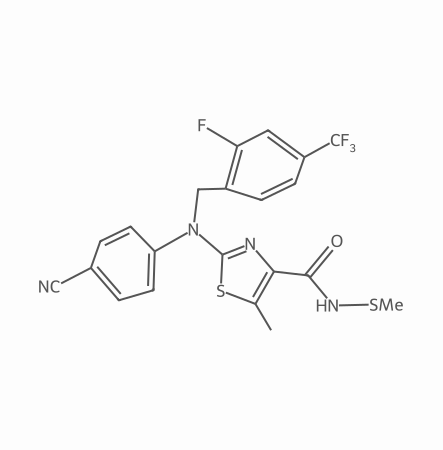 CSNC(=O)c1nc(N(Cc2ccc(C(F)(F)F)cc2F)c2ccc(C#N)cc2)sc1C